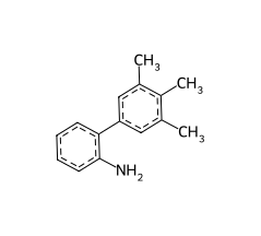 Cc1cc(-c2ccccc2N)cc(C)c1C